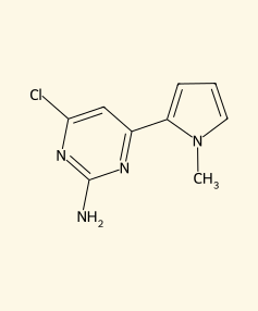 Cn1cccc1-c1cc(Cl)nc(N)n1